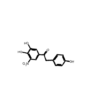 O=C(Cc1ccc(O)cc1)c1cc(O)c(O)c([N+](=O)[O-])c1